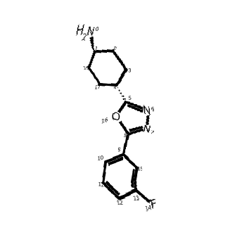 N[C@H]1CC[C@H](c2nnc(-c3cccc(F)c3)o2)CC1